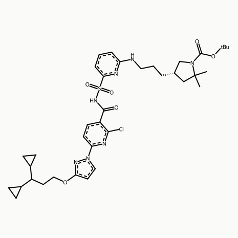 CC(C)(C)OC(=O)N1C[C@@H](CCCNc2cccc(S(=O)(=O)NC(=O)c3ccc(-n4ccc(OCCC(C5CC5)C5CC5)n4)nc3Cl)n2)CC1(C)C